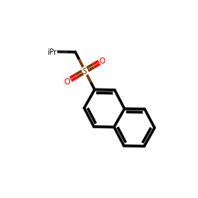 CC(C)CS(=O)(=O)c1ccc2ccccc2c1